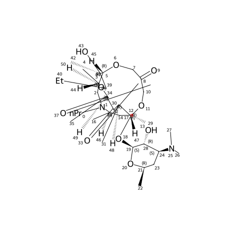 CCCN1C[C@H](C)[C@H]2OCC(=O)CO[C@](C)(C[C@H]1C)[C@H](O[C@@H]1O[C@H](C)C[C@H](N(C)C)[C@H]1O)[C@@H](C)C(=O)[C@@H](C)C(=O)O[C@H](CC)[C@@]2(C)O